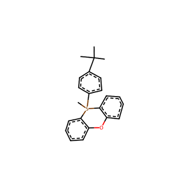 CC(C)(C)c1ccc(S2(C)c3ccccc3Oc3ccccc32)cc1